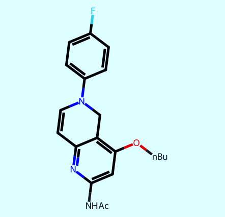 CCCCOc1cc(NC(C)=O)nc2c1CN(c1ccc(F)cc1)C=C2